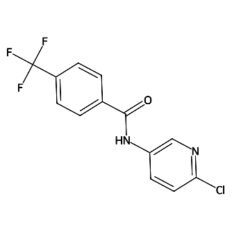 O=C(Nc1ccc(Cl)nc1)c1ccc(C(F)(F)F)cc1